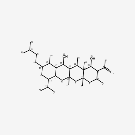 CC(=O)C1C(C)CC2(C)CC3(C)CC4C(C(C)C)CC(CCC(C)C)C(C)C4C(O)C3C(C)C2(C)C1O